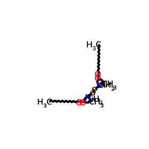 CCCCCCCCCCCCCCCCOCOC1CCC(C)[SiH2]N(CCCSSCCCN2CCC(OCOCCCCCCCCCCCCCCCC)CCC(C)[SiH2]2)CC1